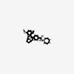 C=CCN1CCC2CCC(C1)N2C(C1=CCC(C(=O)NN2CCCCCC2)C=C1)c1cccc(OC)c1